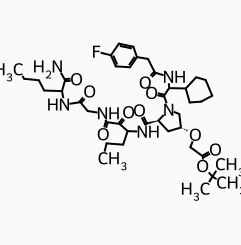 CCCCC(NC(=O)CNC(=O)C(=O)C(CCC)NC(=O)[C@@H]1C[C@@H](OCC(=O)OC(C)(C)C)CN1C(=O)C(NC(=O)Cc1ccc(F)cc1)C1CCCCC1)C(N)=O